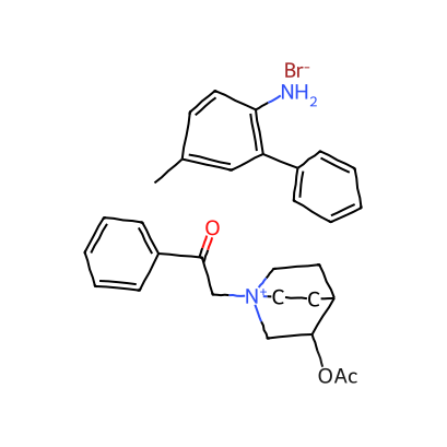 CC(=O)OC1C[N+]2(CC(=O)c3ccccc3)CCC1CC2.Cc1ccc(N)c(-c2ccccc2)c1.[Br-]